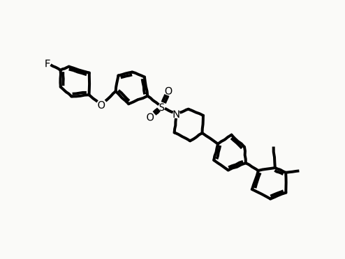 Cc1cccc(-c2ccc(C3CCN(S(=O)(=O)c4cccc(Oc5ccc(F)cc5)c4)CC3)cc2)c1C